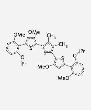 COc1cc(-c2c(OC)cccc2OC(C)C)sc1-c1sc(-c2sc(-c3c(OC)cccc3OC(C)C)cc2OC)c(C)c1C